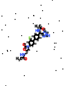 CC(=O)NC[C@H]1CN(c2ccc(-c3ccc(C(NC(C)=O)c4nn[nH]n4)cc3)c(F)c2)C(=O)O1